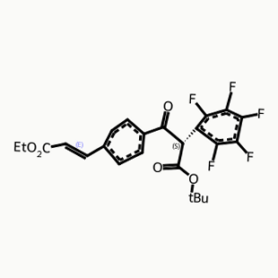 CCOC(=O)/C=C/c1ccc(C(=O)[C@@H](C(=O)OC(C)(C)C)c2c(F)c(F)c(F)c(F)c2F)cc1